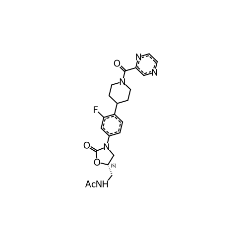 CC(=O)NC[C@H]1CN(c2ccc(C3CCN(C(=O)c4cnccn4)CC3)c(F)c2)C(=O)O1